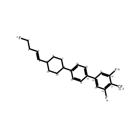 FCCC=CC1CCC(c2ccc(-c3cc(F)c(C(F)(F)F)c(F)c3)cc2)CC1